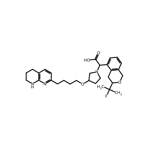 CC(C)(F)C1Cc2c(cccc2C(C(=O)O)N2CCC(OCCCCc3ccc4c(n3)NCCC4)C2)CO1